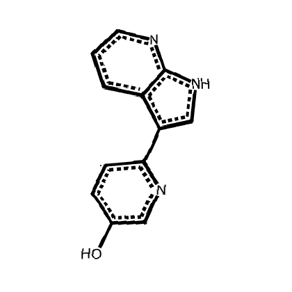 Oc1c[c]c(-c2c[nH]c3ncccc23)nc1